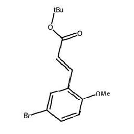 COc1ccc(Br)cc1/C=C/C(=O)OC(C)(C)C